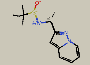 C[C@@H](N[S+]([O-])C(C)(C)C)c1cc2ccccn2n1